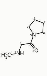 CNCC(=O)N1CCCC1